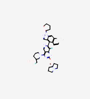 C/C=C\c1c(C)cc2c(cnn2C2CCCCO2)c1-c1ncc2c(N3CCC[C@](O)(CF)C3)nc(OC[C@@]34CCCN3C[C@H](F)C4)nc2c1F